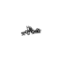 C[Si](C)(C)CCOC(=O)NCC1(c2cccc(COC3CCCCO3)c2)COC1